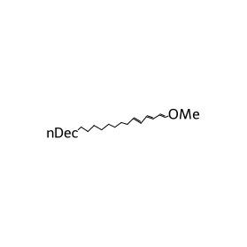 [CH2]OC=CC=CC=CCCCCCCCCCCCCCCCCCC